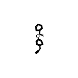 C#CCc1ccc(OC(I)c2ccccc2)cc1